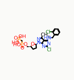 Cc1nn([C@H]2CC[C@@H](COP(=O)(O)CP(=O)(O)O)O2)c2nc(Cl)nc(NCc3ccccc3Cl)c12